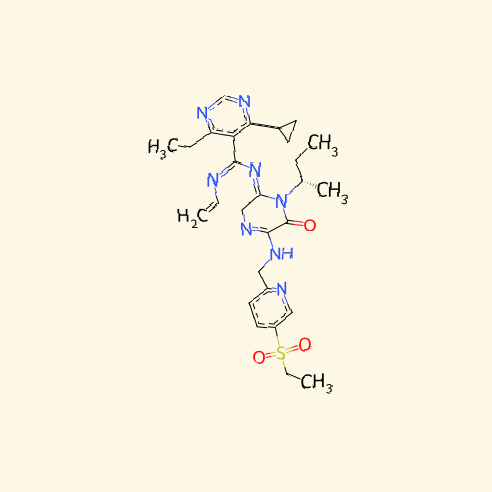 C=C/N=C(\N=C1/CN=C(NCc2ccc(S(=O)(=O)CC)cn2)C(=O)N1[C@@H](C)CC)c1c(CC)ncnc1C1CC1